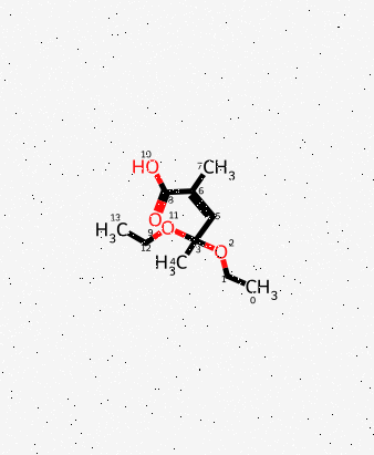 CCOC(C)(C=C(C)C(=O)O)OCC